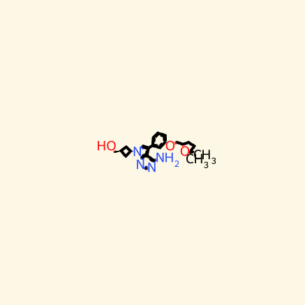 CC1(C)CCC(COc2cccc(-c3cn([C@H]4C[C@H](CO)C4)c4ncnc(N)c34)c2)O1